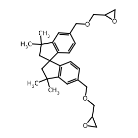 CC1(C)CC2(CC(C)(C)c3cc(COCC4CO4)ccc32)c2ccc(COCC3CO3)cc21